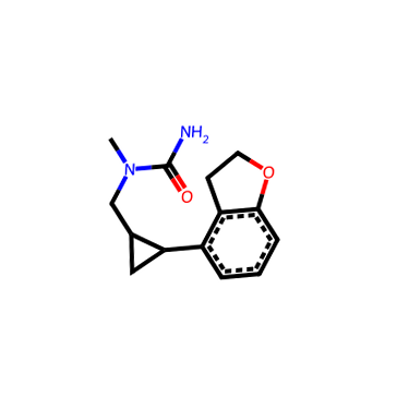 CN(CC1CC1c1cccc2c1CCO2)C(N)=O